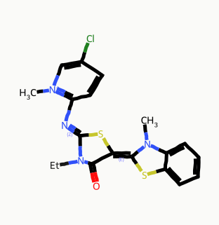 CCN1C(=O)/C(=C2\Sc3ccccc3N2C)S/C1=N\c1ccc(Cl)c[n+]1C